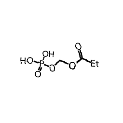 CCC(=O)OCOP(=O)(O)O